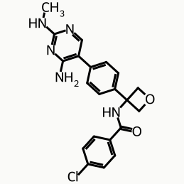 CNc1ncc(-c2ccc(C3(NC(=O)c4ccc(Cl)cc4)COC3)cc2)c(N)n1